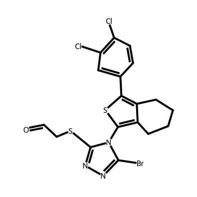 O=CCSc1nnc(Br)n1-c1sc(-c2ccc(Cl)c(Cl)c2)c2c1CCCC2